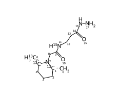 C[13C@@H]1CCC[13C@H]([13CH3])N1CC(=O)[15NH]CCC(=O)NN